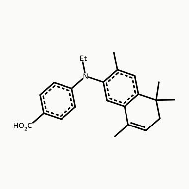 CCN(c1ccc(C(=O)O)cc1)c1cc2c(cc1C)C(C)(C)CC=C2C